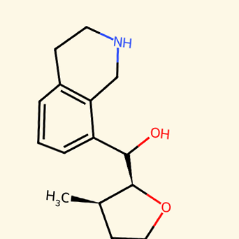 C[C@@H]1CCO[C@@H]1C(O)c1cccc2c1CNCC2